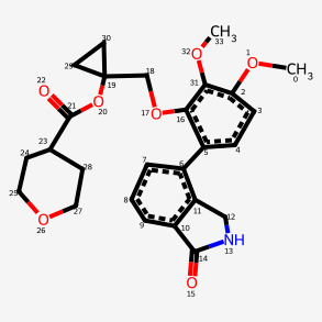 COc1ccc(-c2cccc3c2CNC3=O)c(OCC2(OC(=O)C3CCOCC3)CC2)c1OC